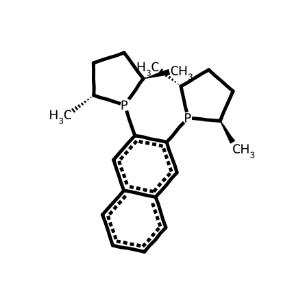 C[C@@H]1CC[C@@H](C)P1c1cc2ccccc2cc1P1[C@H](C)CC[C@H]1C